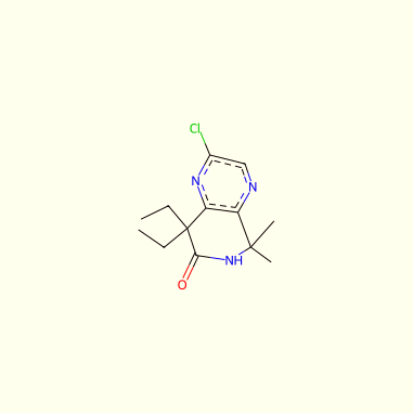 CCC1(CC)C(=O)NC(C)(C)c2ncc(Cl)nc21